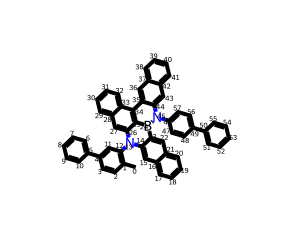 Cc1ccc(-c2ccccc2)cc1N1c2cc3ccccc3cc2B2c3c1cc1ccccc1c3-c1cc3ccccc3cc1N2c1ccc(-c2ccccc2)cc1